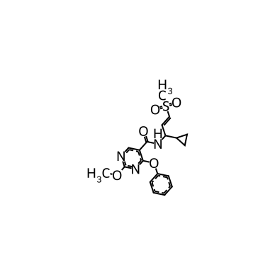 COc1ncc(C(=O)NC(/C=C/S(C)(=O)=O)C2CC2)c(Oc2ccccc2)n1